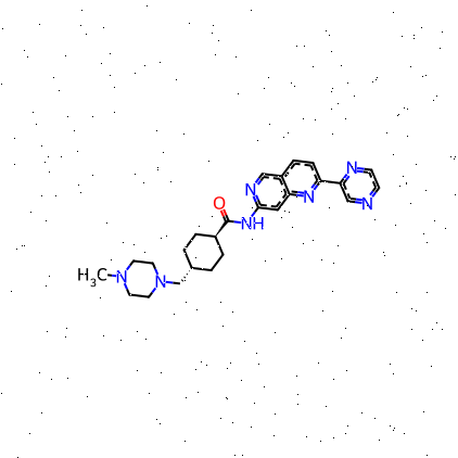 CN1CCN(C[C@H]2CC[C@H](C(=O)Nc3cc4nc(-c5cnccn5)ccc4cn3)CC2)CC1